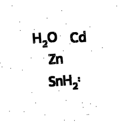 O.[Cd].[SnH2].[Zn]